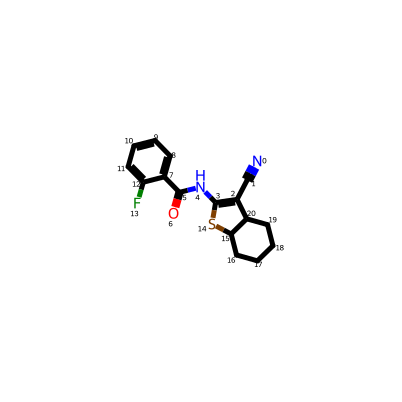 N#CC1=C(NC(=O)c2ccccc2F)SC2CCCCC12